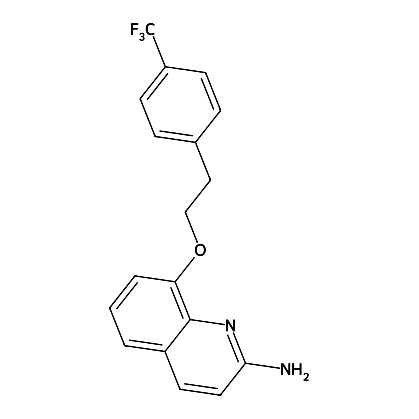 Nc1ccc2cccc(OCCc3ccc(C(F)(F)F)cc3)c2n1